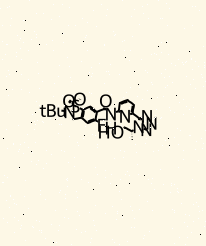 C[C@H](CO)n1nnnc1-c1cccc(NC(=O)c2cc3c(cc2F)CN(C(C)(C)C)S3(=O)=O)n1